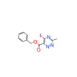 Cc1nnc(C(=O)OCc2ccccc2)c(I)n1